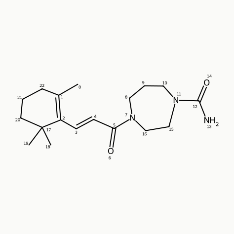 CC1=C(C=CC(=O)N2CCCN(C(N)=O)CC2)C(C)(C)CCC1